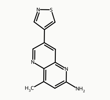 Cc1cc(N)nc2cc(-c3cnsc3)cnc12